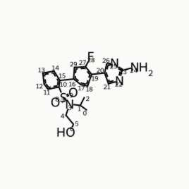 CC(C)N(CCO)S(=O)(=O)c1ccccc1-c1ccc(-c2cnc(N)nc2)c(F)c1